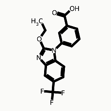 CCOc1nc2cc(C(F)(F)F)ccc2n1-c1cccc(C(=O)O)c1